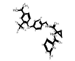 CC(O)c1ccc(Oc2ccc(CNC(=O)C3(NC(=O)c4cccc(O)n4)CC3)nc2)c(C(F)(F)F)c1